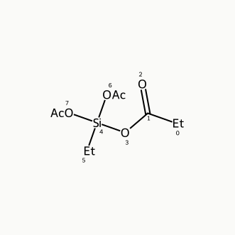 CCC(=O)O[Si](CC)(OC(C)=O)OC(C)=O